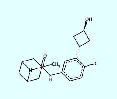 CC1CC2CC(C1)N2C(=O)Nc1ccc(Cl)c([C@H]2C[C@H](O)C2)c1